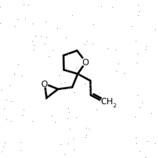 C=CCC1(CC2CO2)CCCO1